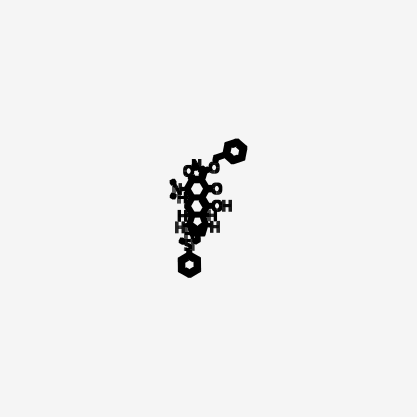 CN(C)[C@H]1c2onc(OCc3ccccc3)c2C(=O)C2=C(O)[C@H]3[C@@H](C[C@H]21)[C@H]1C=C[C@@H]3C1C[SiH](C)c1ccccc1